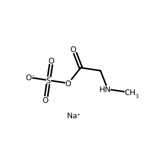 CNCC(=O)OS(=O)(=O)[O-].[Na+]